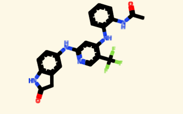 CC(=O)Nc1ccccc1Nc1cc(Nc2ccc3c(c2)CC(=O)N3)ncc1C(F)(F)F